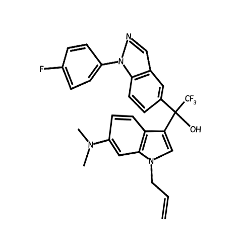 C=CCn1cc(C(O)(c2ccc3c(cnn3-c3ccc(F)cc3)c2)C(F)(F)F)c2ccc(N(C)C)cc21